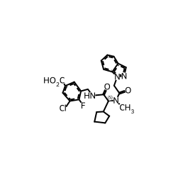 CN(C(=O)Cn1ncc2ccccc21)[C@H](C(=O)NCc1cc(C(=O)O)cc(Cl)c1F)C1CCCC1